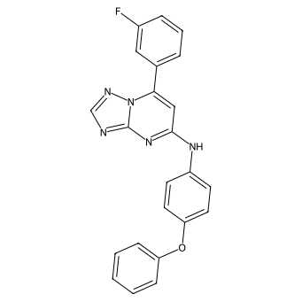 Fc1cccc(-c2cc(Nc3ccc(Oc4ccccc4)cc3)nc3ncnn23)c1